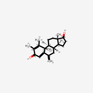 C=C1C[C@@H]2[C@H](CC[C@]3(C)C(=O)CC[C@@H]23)[C@]2(C)C1=CC(=O)C(C)=C2C